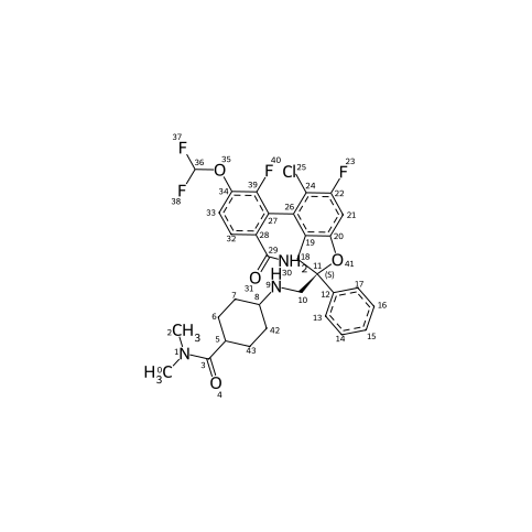 CN(C)C(=O)C1CCC(NC[C@@]2(c3ccccc3)Cc3c(cc(F)c(Cl)c3-c3c(C(N)=O)ccc(OC(F)F)c3F)O2)CC1